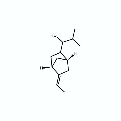 CC=C1C[C@@H]2C[C@H]1CC2C(O)C(C)C